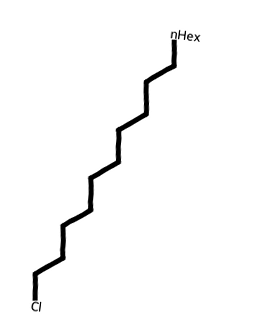 [CH2]CCCCCCCCCCCCCCCCl